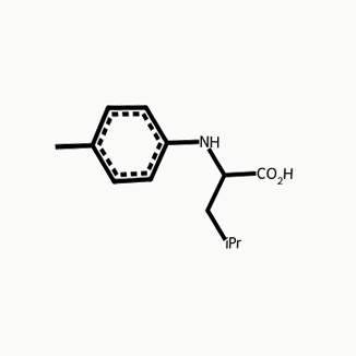 Cc1ccc(NC(CC(C)C)C(=O)O)cc1